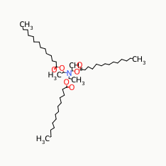 CCCCCCCCCCCCCC(=O)OC(C)N(C(C)OC(=O)CCCCCCCCCCCCC)C(C)OC(=O)CCCCCCCCCCCCC